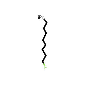 CC(C)CCCCCCCCF